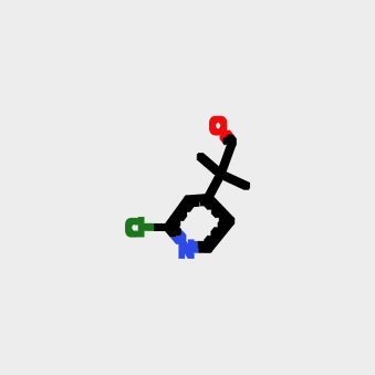 CC(C)(C=O)c1ccnc(Cl)c1